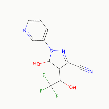 N#CC1=NN(c2cccnc2)C(O)C1C(O)C(F)(F)F